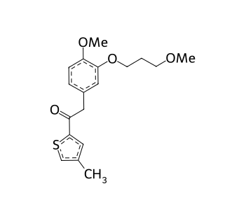 COCCCOc1cc(CC(=O)c2cc(C)cs2)ccc1OC